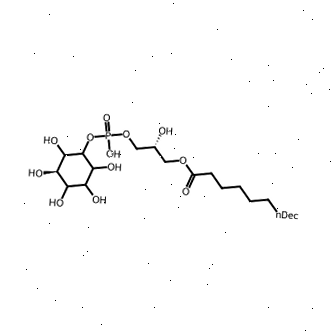 CCCCCCCCCCCCCCCC(=O)OC[C@@H](O)COP(=O)(O)OC1C(O)C(O)C(O)[C@@H](O)C1O